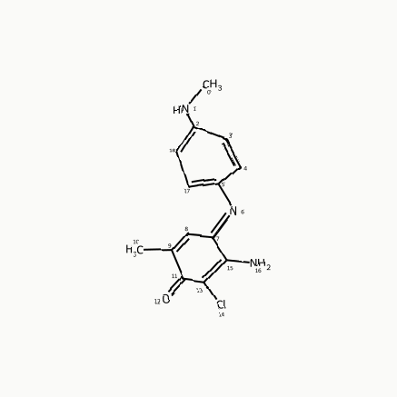 CNc1ccc(N=C2C=C(C)C(=O)C(Cl)=C2N)cc1